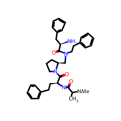 CNC(C)C(=O)N[C@@H](CCc1ccccc1)C(=O)N1CCC[C@H]1CN(CCc1ccccc1)C(=O)[C@H](N)Cc1ccccc1